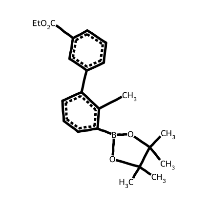 CCOC(=O)c1cccc(-c2cccc(B3OC(C)(C)C(C)(C)O3)c2C)c1